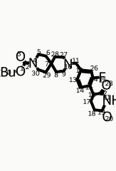 CC(C)(C)OC(=O)N1CCC2(CCN(Cc3ccc(C4CCC(=O)NC4=O)c(F)c3)CC2)CC1